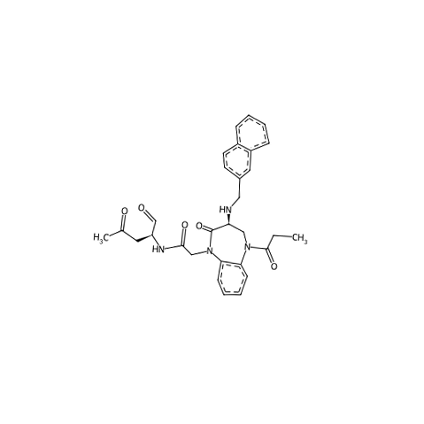 CCC(=O)N1C[C@H](NCc2ccc3ccccc3c2)C(=O)N(CC(=O)N[C@H](C=O)CC(C)=O)c2ccccc21